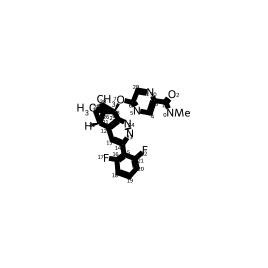 CNC(=O)c1cnc(O[C@@]23CC[C@@H](c4cc(-c5c(F)cccc5F)nnc42)C3(C)C)cn1